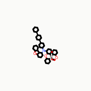 c1ccc(-c2ccc(-c3ccc(N(c4cccc5c4Oc4ccccc4[Si]54c5ccccc5Oc5ccccc54)c4cccc5oc6ccccc6c45)cc3)cc2)cc1